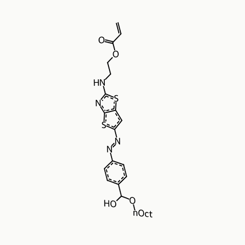 C=CC(=O)OCCNc1nc2sc(N=Nc3ccc(C(O)OCCCCCCCC)cc3)cc2s1